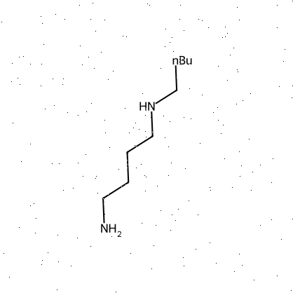 CCCCCNCCCCN